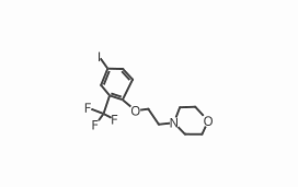 FC(F)(F)c1cc(I)ccc1OCCN1CCOCC1